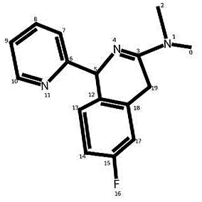 CN(C)C1=NC(c2ccccn2)c2ccc(F)cc2C1